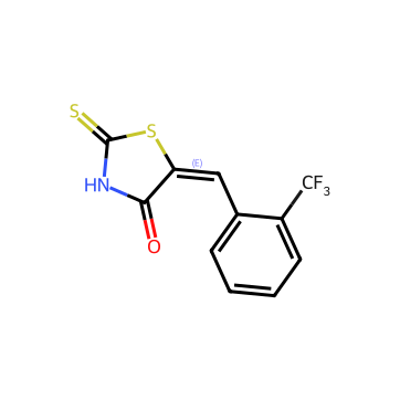 O=C1NC(=S)S/C1=C/c1ccccc1C(F)(F)F